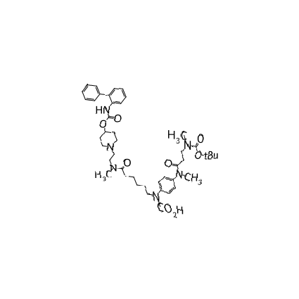 CN(CCN1CCC(OC(=O)Nc2ccccc2-c2ccccc2)CC1)C(=O)CCCCCN(C(=O)O)c1ccc(N(C)C(=O)CCN(C)C(=O)OC(C)(C)C)cc1